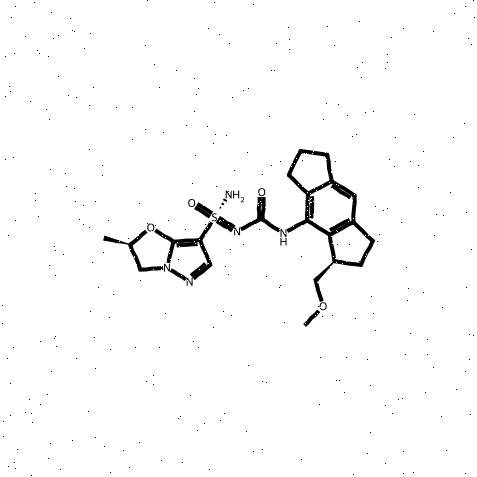 COC[C@@H]1CCc2cc3c(c(NC(=O)N=[S@](N)(=O)c4cnn5c4O[C@H](C)C5)c21)CCC3